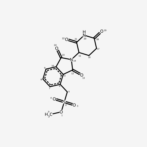 COS(=O)(=O)Cc1cccc2c1C(=O)N(C1CCC(=O)NC1=O)C2=O